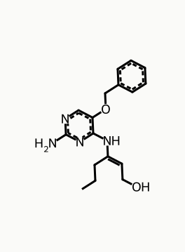 CCC/C(=C\CO)Nc1nc(N)ncc1OCc1ccccc1